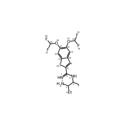 CCC(N)C(C)NC(=N)c1cc2cc(OC(F)F)c(OC(F)F)cc2s1